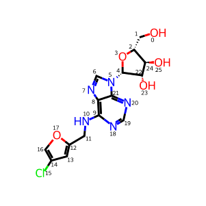 OC[C@H]1O[C@@H](n2cnc3c(NCc4cc(Cl)co4)ncnc32)[C@@H](O)[C@@H]1O